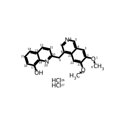 COc1cc2cncc(Cc3ccc4cccc(O)c4n3)c2cc1OC.Cl.Cl